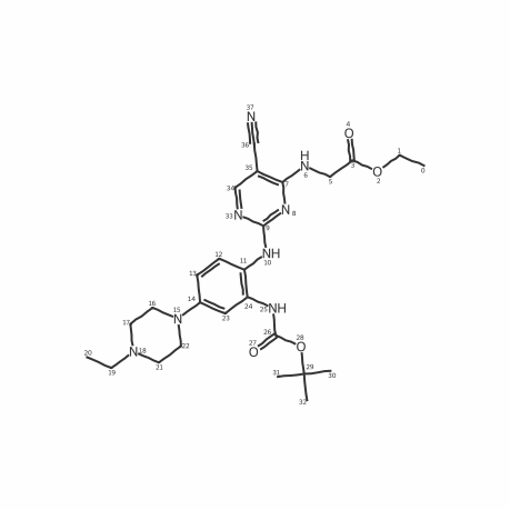 CCOC(=O)CNc1nc(Nc2ccc(N3CCN(CC)CC3)cc2NC(=O)OC(C)(C)C)ncc1C#N